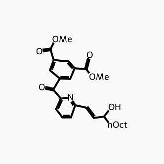 CCCCCCCCC(O)/C=C/c1cccc(C(=O)c2cc(C(=O)OC)cc(C(=O)OC)c2)n1